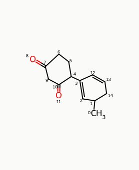 CC1C=C(C2CCC(=O)CC2=O)C=CC1